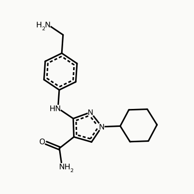 NCc1ccc(Nc2nn(C3CCCCC3)cc2C(N)=O)cc1